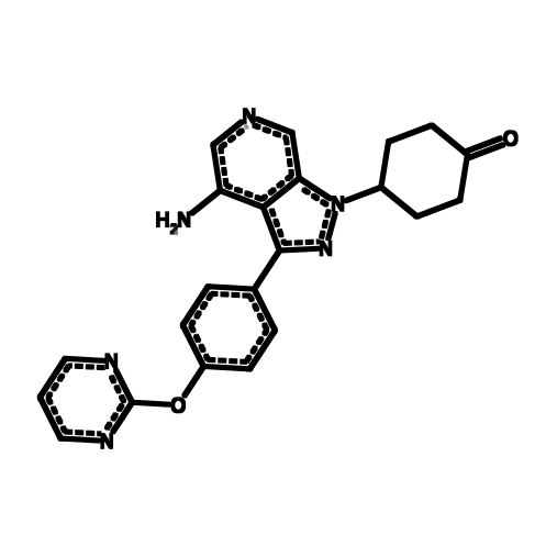 Nc1cncc2c1c(-c1ccc(Oc3ncccn3)cc1)nn2C1CCC(=O)CC1